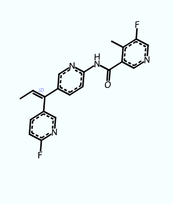 C/C=C(\c1ccc(F)nc1)c1ccc(NC(=O)c2cncc(F)c2C)nc1